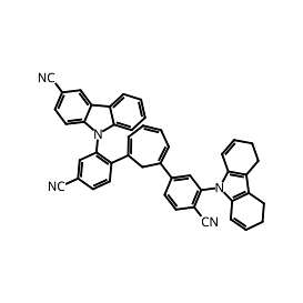 N#Cc1ccc(C2=CC=CC=C(c3ccc(C#N)c(-n4c5c(c6c4C=CCC6)CCC=C5)c3)C2)c(-n2c3ccccc3c3cc(C#N)ccc32)c1